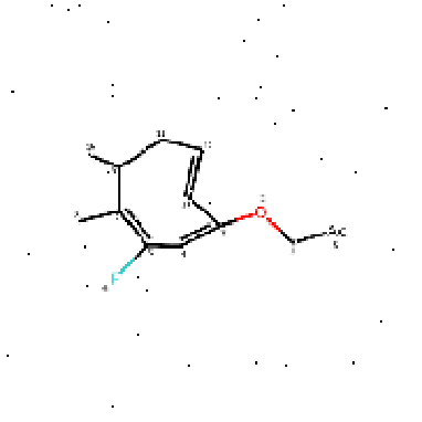 CC(=O)COC1=C/C(F)=C(/C)C(C)C\C=C\1